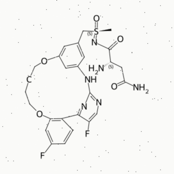 C[S@](=O)(Cc1cc2cc(c1)OCCCCOc1cc(F)ccc1-c1nc(ncc1F)N2)=NC(=O)[C@@H](N)CC(N)=O